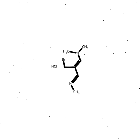 CN=CC(=CN(C)C)CBr.Cl